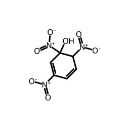 O=[N+]([O-])C1=CC(O)([N+](=O)[O-])C([N+](=O)[O-])C=C1